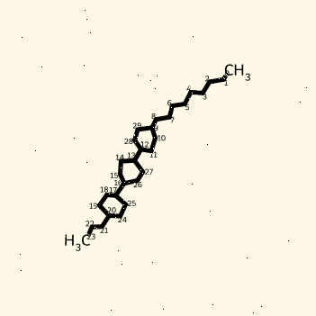 CCCCCCCCCC1CCC(C2CCC(C3CCC(CCC)CC3)CC2)CC1